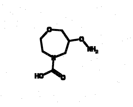 NOC1COCCN(C(=O)O)C1